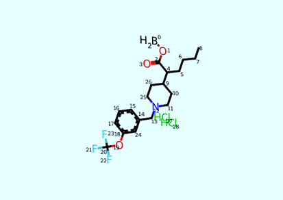 BOC(=O)C(CCCC)C1CCN(Cc2cccc(OC(F)(F)F)c2)CC1.Cl.Cl